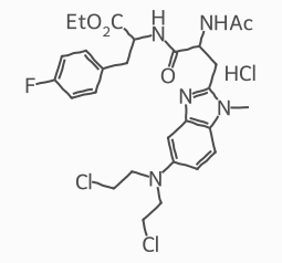 CCOC(=O)C(Cc1ccc(F)cc1)NC(=O)C(Cc1nc2cc(N(CCCl)CCCl)ccc2n1C)NC(C)=O.Cl